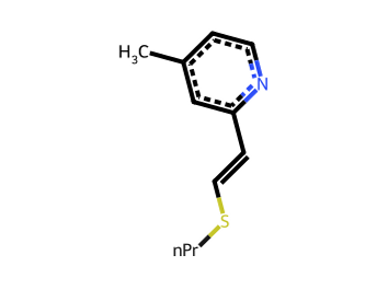 CCCS/C=C/c1cc(C)ccn1